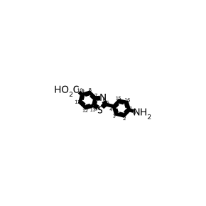 Nc1ccc(-c2nc3cc(C(=O)O)ccc3s2)cc1